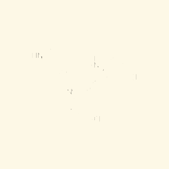 Clc1ccc(Nc2cc(OCC3CNC3)c3[nH]c4ccc(Cl)cc4c3c2)cc1